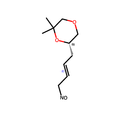 CC1(C)COC[C@H](C/C=C/CN=O)O1